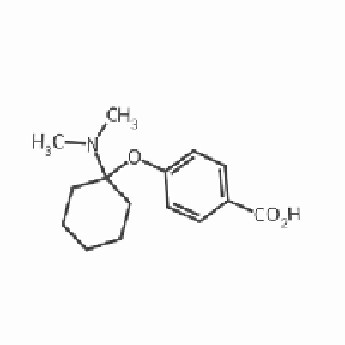 CN(C)C1(Oc2ccc(C(=O)O)cc2)CCCCC1